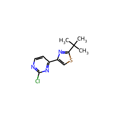 CC(C)(C)c1nc(-c2ccnc(Cl)n2)cs1